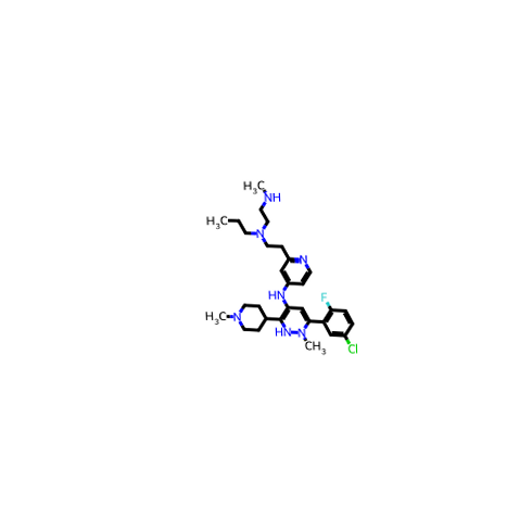 CCCN(CCNC)CCc1cc(NC2=C(C3CCN(C)CC3)NN(C)C(c3cc(Cl)ccc3F)=C2)ccn1